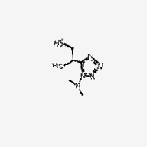 CN(C)n1nnnc1C(S)[CH]S